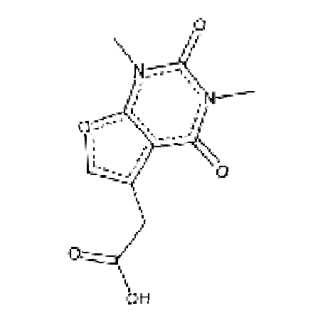 Cn1c(=O)c2c(CC(=O)O)coc2n(C)c1=O